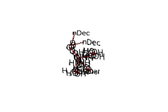 CCCCCCCCCCCCCCCCCCCCOCC(COC(=O)CCOCCOCCC(=O)NC(CCCCNC(=O)CCCCOC1OC(CO)C(O)C(O)C1C)C(=O)N(CCNC(=O)CCCCOC1OC(CO)C(O)C(O)C1C)CCNC(=O)CCCCOC1OC(CO)C(O)C(O)C1C)OCCCCCCCCCCCCCCCCCCCC